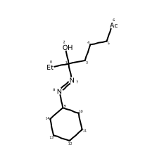 CCC(O)(CCCC(C)=O)N=NC1CCCCC1